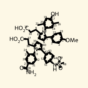 COc1ccc(-c2ccc(CCC(=O)O)n2-c2cc(C)c(O)cc2C)cc1.Cc1cc(C(N)=O)ccc1-n1c(CCC(=O)O)ccc1-c1ccc(NS(C)(=O)=O)cc1